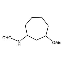 COC1CCCCC(NC=O)C1